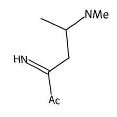 [CH2]C(=O)C(=N)CC(C)NC